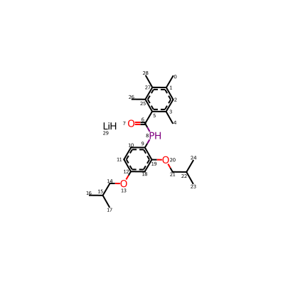 Cc1cc(C)c(C(=O)Pc2ccc(OCC(C)C)cc2OCC(C)C)c(C)c1C.[LiH]